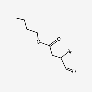 CCCCOC(=O)CC(Br)C=O